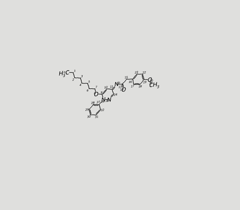 CCCCCCCCOc1cc(=NC(=O)Cc2ccc(OC)cc2)cnn1-c1ccccc1